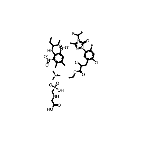 CCC(CC)Nc1c([N+](=O)[O-])cc(C)c(C)c1[N+](=O)[O-].CCOC(=O)C(Cl)Cc1cc(-n2nc(C)n(C(F)F)c2=O)c(F)cc1Cl.C[S+](C)C.O=C(O)CNCP(=O)([O-])O